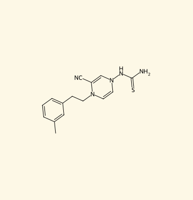 Cc1cccc(CCN2C=CN(NC(N)=S)C=C2C#N)c1